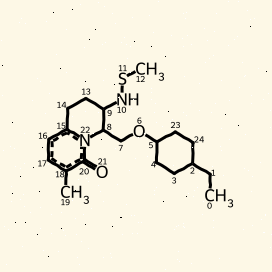 CCC1CCC(OCC2C(NSC)CCc3ccc(C)c(=O)n32)CC1